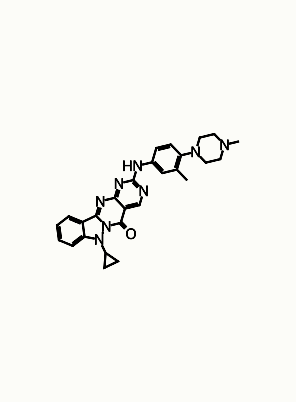 Cc1cc(Nc2ncc3c(=O)n4c(nc3n2)c2ccccc2n4C2CC2)ccc1N1CCN(C)CC1